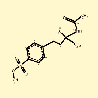 COS(=O)(=O)c1ccc(CCC(C)(C)NC(C)=O)cc1